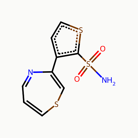 NS(=O)(=O)c1sccc1C1=CSC=CC=N1